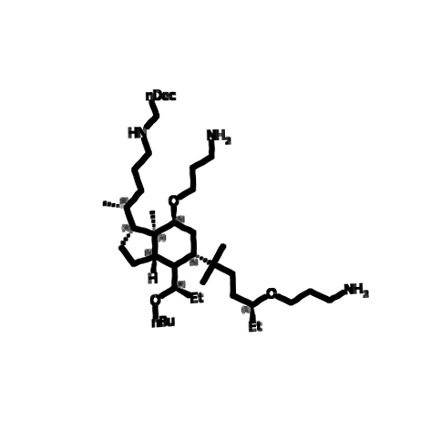 CCCCCCCCCCCNCCC[C@@H](C)[C@H]1CC[C@H]2C([C@@H](CC)OCCCC)[C@@H](C(C)(C)CC[C@H](CC)OCCCN)C[C@H](OCCCN)[C@]12C